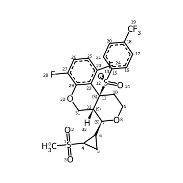 CS(=O)(=O)C1CC1[C@@H]1OCC[C@@]2(S(=O)(=O)c3ccc(C(F)(F)F)cc3)c3c(F)ccc(F)c3OC[C@@H]12